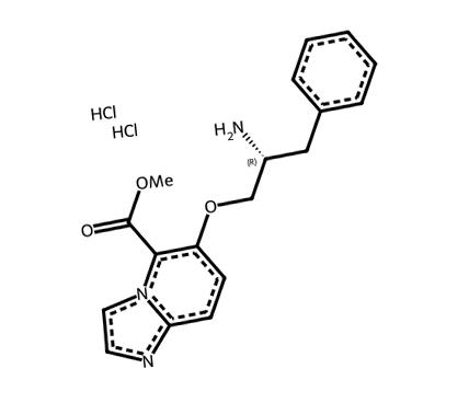 COC(=O)c1c(OC[C@H](N)Cc2ccccc2)ccc2nccn12.Cl.Cl